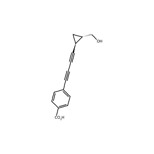 O=C(O)c1ccc(C#CC#C[C@H]2C[C@@H]2CO)cc1